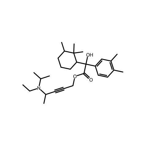 CCN(C(C)C)C(C)C#CCOC(=O)C(O)(c1ccc(C)c(C)c1)C1CCCC(C)C1(C)C